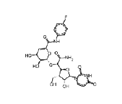 NC(=O)[C@H](O[C@H]1OC(C(=O)Nc2ccc(F)cc2)=C[C@H](O)[C@@H]1O)[C@H]1O[C@@H](n2ccc(=O)[nH]c2=O)[C@H](O)[C@@H]1CO